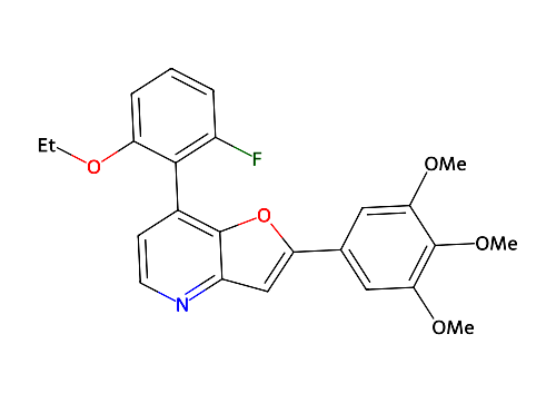 CCOc1cccc(F)c1-c1ccnc2cc(-c3cc(OC)c(OC)c(OC)c3)oc12